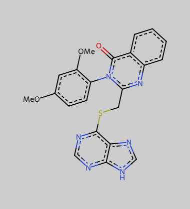 COc1ccc(-n2c(CSc3ncnc4[nH]cnc34)nc3ccccc3c2=O)c(OC)c1